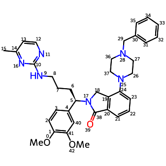 COc1ccc([C@@H](CCCNc2nccc(C)n2)N2Cc3c(cccc3N3CCN(Cc4ccccc4)CC3)C2=O)cc1OC